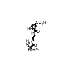 CC(C)N[C@@H](CN)C(=O)NCCCNC(=O)[C@H](CCC(=O)O)NC(C)(C)C